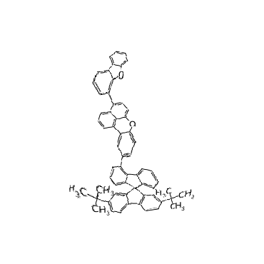 CC(C)(C)c1ccc2c(c1)C1(c3cc(C(C)(C)C)ccc3-2)c2ccccc2-c2c(-c3ccc4c(c3)-c3cccc5c(-c6cccc7c6oc6ccccc67)ccc(c35)O4)cccc21